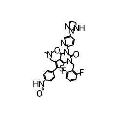 CN(C)Cc1c(-c2ccc(NC=O)cc2)sc2c1c(=O)n(-c1ccc(N3N=CCN3)cn1)c(=O)n2Cc1c(F)cccc1F